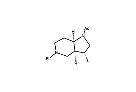 CCN1CC[C@@H]2[C@H](C1)[C@@H](C)CN2C(C)=O